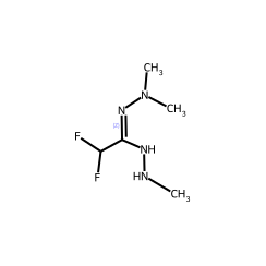 CNN/C(=N\N(C)C)C(F)F